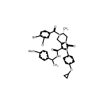 COc1ccc(C(C)NC(=O)c2c3n(c(=O)n2-c2ccc(OC4CC4)cc2)C[C@@H](C)N(C(=O)c2ccc(Br)c(Cl)c2)C3)cc1